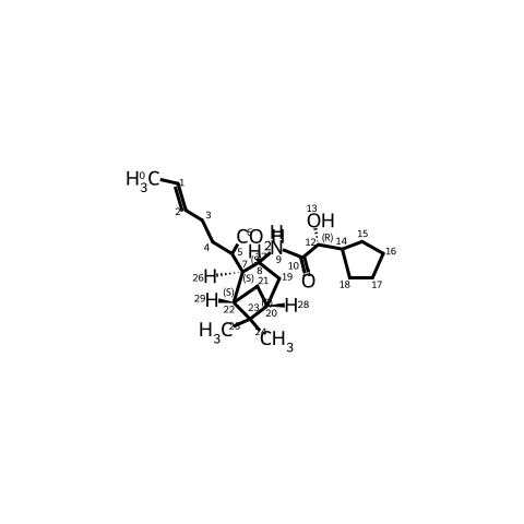 CC=CCCC(C(=O)O)[C@H]1[C@@H](NC(=O)[C@H](O)C2CCCC2)C[C@H]2C[C@@H]1C2(C)C